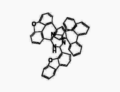 c1ccc(C2=NC(c3cccc4c3oc3ccccc34)NC(c3cccc4oc5cccc(-c6ccc7c8ccccc8c8ccccc8c7c6)c5c34)=N2)cc1